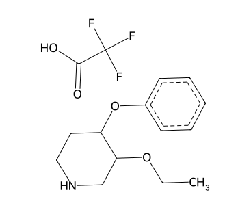 CCOC1CNCCC1Oc1ccccc1.O=C(O)C(F)(F)F